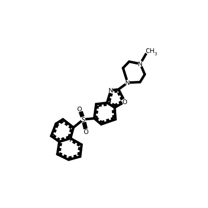 CN1CCN(c2nc3cc(S(=O)(=O)c4cccc5ccccc45)ccc3o2)CC1